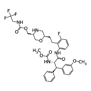 COC(=O)N[C@H](C(=O)Nc1cccc(F)c1CC[C@@H]1CN[C@H](COC(=O)NCC(F)(F)F)CO1)[C@H](c1ccccc1)c1cccc(OC)c1